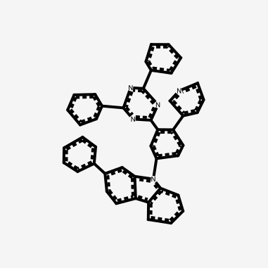 c1ccc(-c2ccc3c4ccccc4n(-c4ccc(-c5cccnc5)c(-c5nc(-c6ccccc6)nc(-c6ccccc6)n5)c4)c3c2)cc1